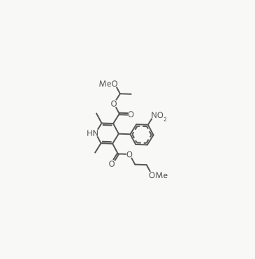 COCCOC(=O)C1=C(C)NC(C)=C(C(=O)OC(C)OC)C1c1cccc([N+](=O)[O-])c1